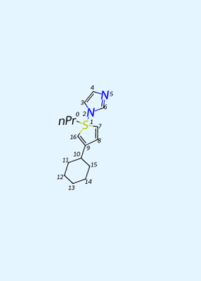 CCCS1(n2ccnc2)C=CC(C2CCCCC2)=C1